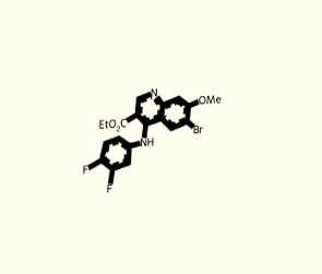 CCOC(=O)c1cnc2cc(OC)c(Br)cc2c1Nc1ccc(F)c(F)c1